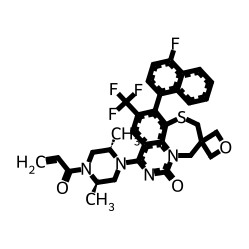 C=CC(=O)N1C[C@H](C)N(c2nc(=O)n3c4c(c(-c5ccc(F)c6ccccc56)c(C(F)(F)F)cc24)SCC2(COC2)C3)C[C@H]1C